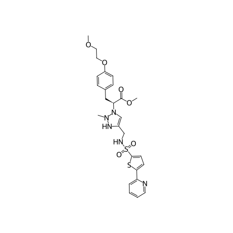 COCCOc1ccc(C[C@@H](C(=O)OC)N2C=C(CNS(=O)(=O)c3ccc(-c4ccccn4)s3)NN2C)cc1